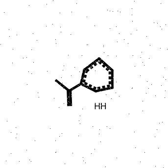 C=C(C)c1ccccc1.[HH]